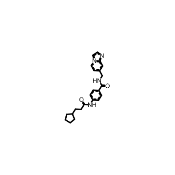 O=C(CCC1CCCC1)Nc1ccc(C(=O)NCc2ccn3ccnc3c2)cc1